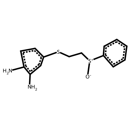 Nc1ccc(SCC[S+]([O-])c2ccccc2)cc1N